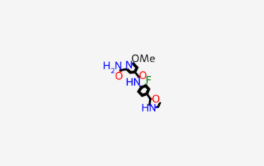 COc1cc(C(=O)Nc2ccc(C3CNCCO3)cc2F)cc(C(N)=O)n1